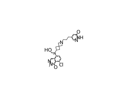 Cn1ncc2c([C@@H](CO)C3CC4(C3)CN(CCCc3cn[nH]c(=O)c3)C4)ccc(Cl)c2c1=O